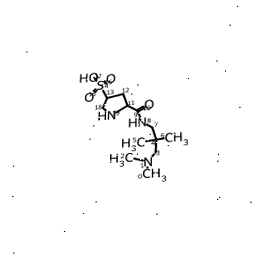 CN(C)CC(C)(C)CNC(=O)C1CC(S(=O)(=O)O)CN1